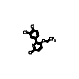 FC(F)(F)COc1ccc(Cl)nc1-c1ccc(Cl)c(Cl)c1